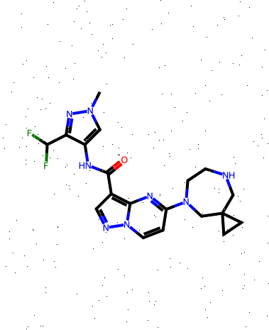 Cn1cc(NC(=O)c2cnn3ccc(N4CCNCC5(CC5)C4)nc23)c(C(F)F)n1